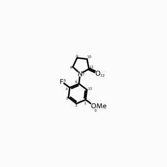 COc1ccc(F)c(N2CCCC2=O)c1